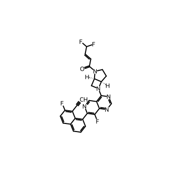 C#Cc1c(F)ccc2cccc(-c3ncc4c(N5C[C@@H]6[C@H]5CCN6C(=O)/C=C/C(F)F)ncnc4c3F)c12